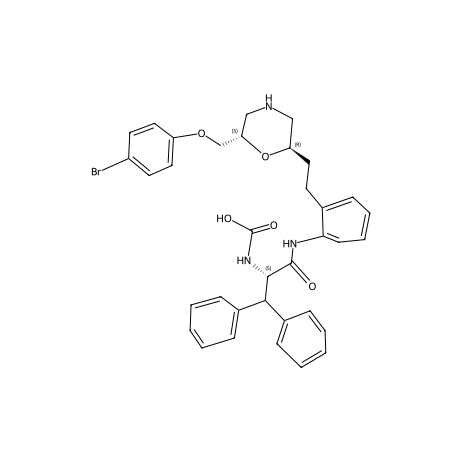 O=C(O)N[C@H](C(=O)Nc1ccccc1CC[C@@H]1CNC[C@@H](COc2ccc(Br)cc2)O1)C(c1ccccc1)c1ccccc1